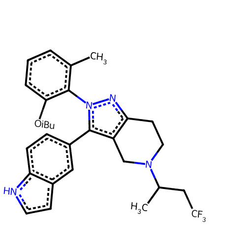 Cc1cccc(OCC(C)C)c1-n1nc2c(c1-c1ccc3[nH]ccc3c1)CN(C(C)CC(F)(F)F)CC2